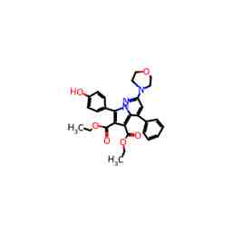 CCOC(=O)c1c(C(=O)OCC)c2c(-c3ccccc3)cc(N3CCOCC3)nn2c1-c1ccc(O)cc1